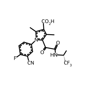 Cc1c(C(=O)O)c(C)n(-c2ccc(F)c(C#N)c2)c1C(=O)C(=O)N[C@H](C)C(F)(F)F